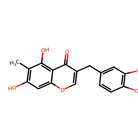 Cc1c(O)cc2occ(Cc3ccc4c(c3)OCO4)c(=O)c2c1O